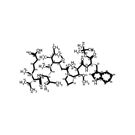 CC[C@H](C)[C@@H]([C@H](CC(=O)N1CCC[C@H]1[C@H](OC)[C@@H](C)C(=O)N[C@@H](Cc1c[nH]c2ccccc12)C(=O)OC(C)(C)C)OC)N(C)C[C@@H](NC(=O)[C@H](C(C)C)N(C)CCCC(=O)O)C(C)C